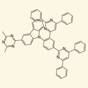 Cc1nc(C)nc(-c2ccc3c(c2)c2ccccc2n3-c2ccc(-c3nc(-c4ccccc4)cc(-c4ccccc4)n3)cc2-c2cc(-c3ccccc3)nc(-c3ccccc3)n2)n1